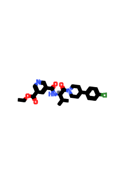 CCOC(=O)c1cncc(C(=O)N[C@@H](C(=O)N2CCC(c3ccc(Cl)cc3)CC2)C(C)C)c1